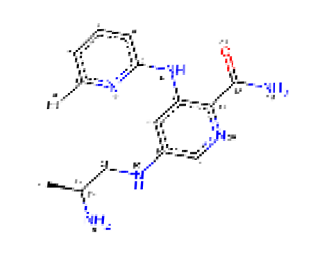 CCc1cccc(Nc2cc(NC[C@H](C)N)cnc2C(N)=O)n1